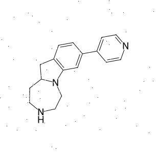 c1cc(-c2ccc3c(c2)N2CCNCCC2C3)ccn1